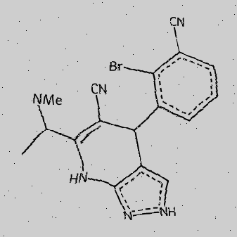 CNC(C)C1=C(C#N)C(c2cccc(C#N)c2Br)c2c[nH]nc2N1